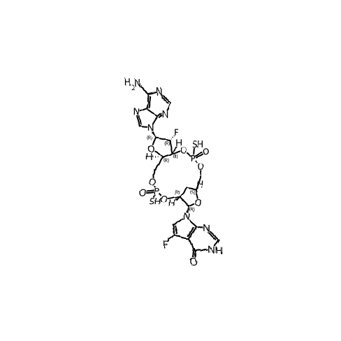 Nc1ncnc2c1ncn2[C@@H]1O[C@@H]2COP(=O)(S)O[C@@H]3C[C@@H](COP(=O)(S)O[C@H]2[C@H]1F)O[C@H]3n1cc(F)c2c(=O)[nH]cnc21